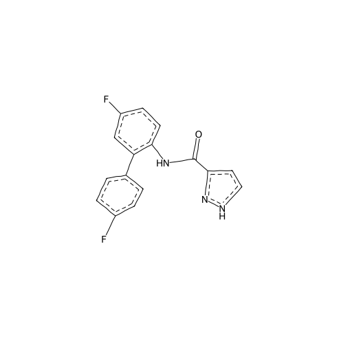 O=C(Nc1ccc(F)cc1-c1ccc(F)cc1)c1cc[nH]n1